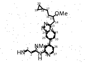 CN/C(=C\C=N)Nc1cc(-c2ccn3c(CC(CCC4CC4)OC)nnc3c2)ccn1